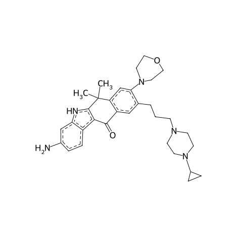 CC1(C)c2cc(N3CCOCC3)c(CCCN3CCN(C4CC4)CC3)cc2C(=O)c2c1[nH]c1cc(N)ccc21